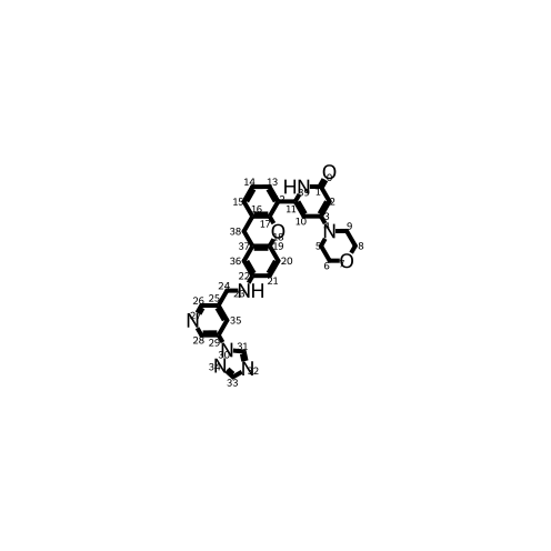 O=c1cc(N2CCOCC2)cc(-c2cccc3c2Oc2ccc(NCc4cncc(-n5cncn5)c4)cc2C3)[nH]1